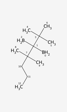 BC(B)(C(C)(C)C)C(C)(C)CCC